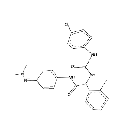 Cc1ccccc1C(NC(=O)Nc1ccc(Cl)cc1)C(=O)NC1=CCC(=NN(C)C)C=C1